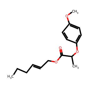 CCCC=CCOC(=O)C(C)Oc1ccc(OC)cc1